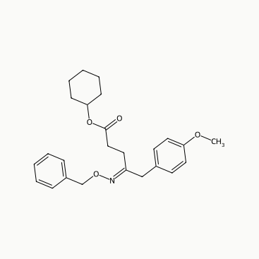 COc1ccc(C/C(CCC(=O)OC2CCCCC2)=N/OCc2ccccc2)cc1